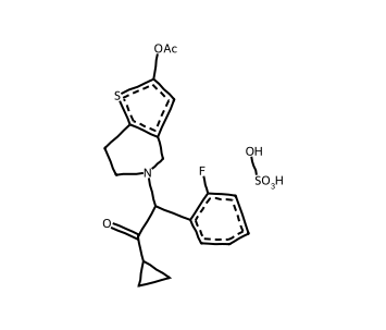 CC(=O)Oc1cc2c(s1)CCN(C(C(=O)C1CC1)c1ccccc1F)C2.O=S(=O)(O)O